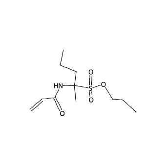 C=CC(=O)NC(C)(CCC)S(=O)(=O)OCCC